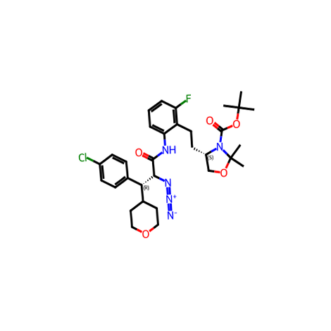 CC(C)(C)OC(=O)N1[C@@H](CCc2c(F)cccc2NC(=O)C(N=[N+]=[N-])[C@@H](c2ccc(Cl)cc2)C2CCOCC2)COC1(C)C